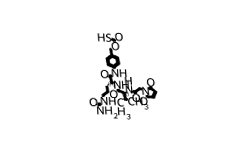 CC(C)[C@@H](NC(=O)CN1C(=O)C=CC1=O)C(=O)N[C@H](CCCNC(N)=O)C(=O)Nc1ccc(COC(=O)S)cc1